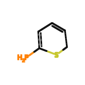 PC1=CC=CCS1